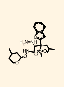 CC(C)C[C@](c1cc2ccccc2o1)([C@@H](NN)C(=O)NOC1CC(C)CCO1)S(C)(=O)=O